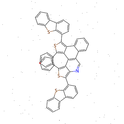 c1ccc(-c2sc(-c3cccc4c3sc3ccccc34)c3ncc4c5ccccc5c5c(-c6cccc7c6sc6ccccc67)sc(-c6ccccc6)c5c4c23)cc1